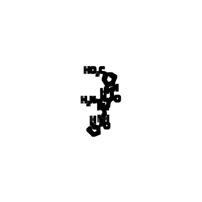 N=C(N)NC(CCCNC(=O)[C@@H]1CCCN1)C(=O)c1nc2ccc(C(=O)O)cc2s1